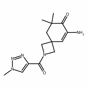 Cn1cc(C(=O)N2CC3(C=C(N)C(=O)C(C)(C)C3)C2)nn1